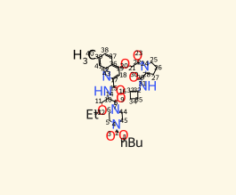 CCCCOC(=O)N1CCN(C(=O)C(COCC)NC(=O)c2cc(OCC(=O)N3CCCC3C(=O)NC3CCC3)c3ccc(C)cc3n2)CC1